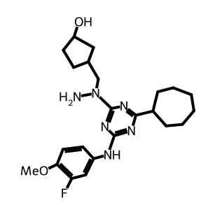 COc1ccc(Nc2nc(C3CCCCCC3)nc(N(N)CC3CCC(O)C3)n2)cc1F